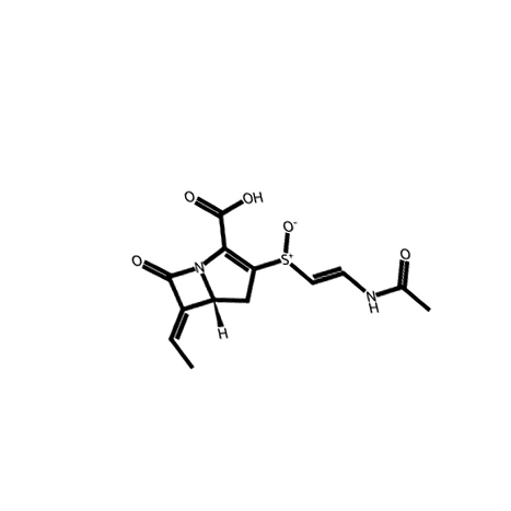 C/C=C1/C(=O)N2C(C(=O)O)=C([S+]([O-])/C=C/NC(C)=O)C[C@H]12